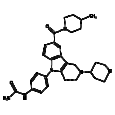 CC(=O)Nc1ccc(-n2c3c(c4cc(C(=O)N5CCC(C)CC5)ccc42)CN(C2CCOCC2)CC3)cc1